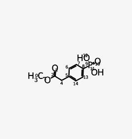 COC(=O)Cc1ccc(P(=O)(O)O)cc1